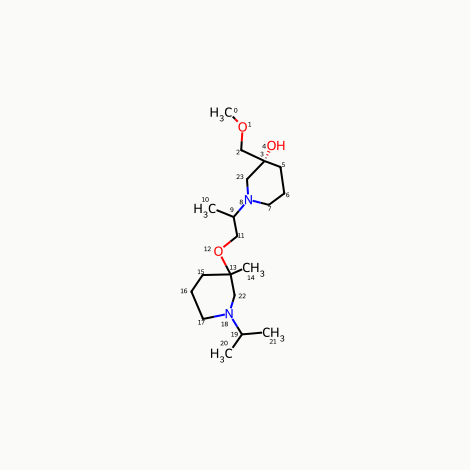 COC[C@@]1(O)CCCN(C(C)COC2(C)CCCN(C(C)C)C2)C1